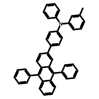 Cc1cccc(N(c2ccccc2)c2ccc(-c3ccc4c(-c5ccccc5)c5ccccc5c(-c5ccccc5)c4c3)cc2)c1